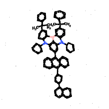 CC(C)(c1ccccc1)c1ccc2c(c1)B1c3cc(C(C)(C)c4ccccc4)ccc3N(C3C=CC=CC3)c3cc(-c4c5ccccc5c(-c5ccc(-c6cccc7ccccc67)cc5)c5ccccc45)cc(c31)N2c1ccccc1